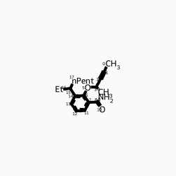 CC#CC(C)Oc1c(C(N)=O)cccc1C(CC)CCCCC